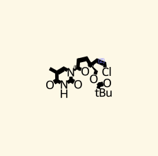 Cc1cn([C@H]2C=C[C@@](/C=C\Cl)(COC(=O)C(C)(C)C)O2)c(=O)[nH]c1=O